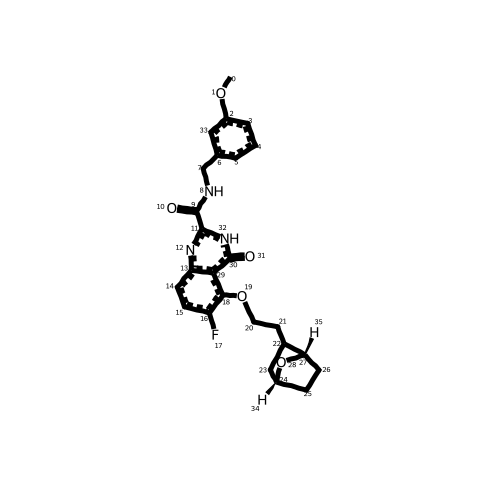 COc1cccc(CNC(=O)c2nc3ccc(F)c(OCCC4C[C@H]5CC[C@@H]4O5)c3c(=O)[nH]2)c1